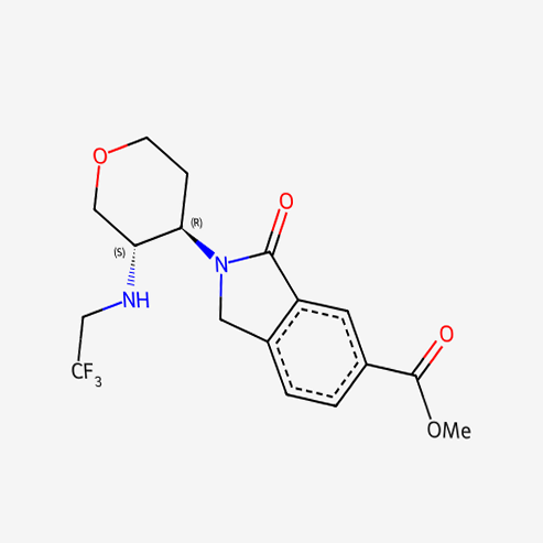 COC(=O)c1ccc2c(c1)C(=O)N([C@@H]1CCOC[C@H]1NCC(F)(F)F)C2